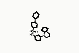 O=S(=O)(Nc1cccc(N2CCCc3ccccc32)c1)c1ccc(-c2ccccc2)cc1